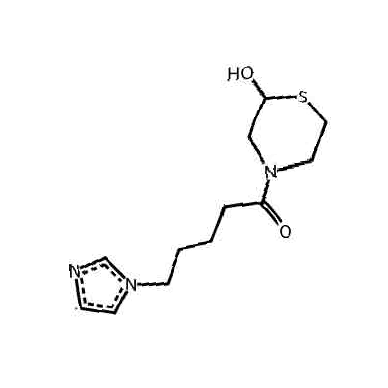 O=C(CCCCn1c[c]nc1)N1CCSC(O)C1